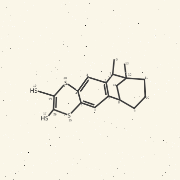 CC1c2cc3c(cc2C2CCCC1(C)C2)SC(S)=C(S)S3